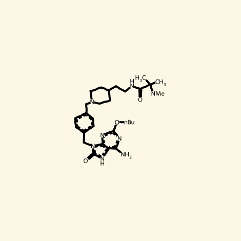 CCCCOc1nc(N)c2[nH]c(=O)n(Cc3ccc(CN4CCC(CCNC(=O)C(C)(C)NC)CC4)cc3)c2n1